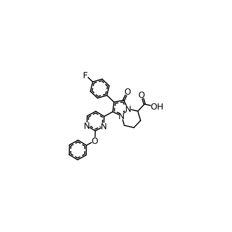 O=C(O)C1CCCn2c(-c3ccnc(Oc4ccccc4)n3)c(-c3ccc(F)cc3)c(=O)n21